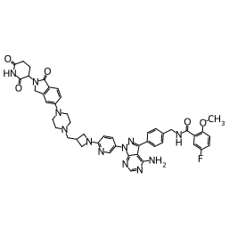 COc1ccc(F)cc1C(=O)NCc1ccc(-c2nn(-c3ccc(N4CC(CN5CCN(c6ccc7c(c6)CN(C6CCC(=O)NC6=O)C7=O)CC5)C4)nc3)c3ncnc(N)c23)cc1